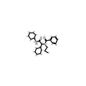 CCCN(C(=O)c1ccccc1)C(C(=O)NC1CCCCC1)C1CCCCC1